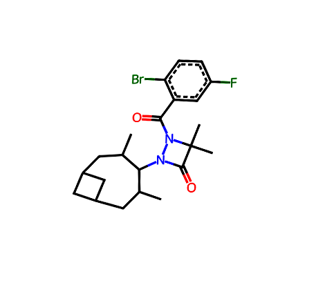 CC1CC2CC(C2)CC(C)C1N1C(=O)C(C)(C)N1C(=O)c1cc(F)ccc1Br